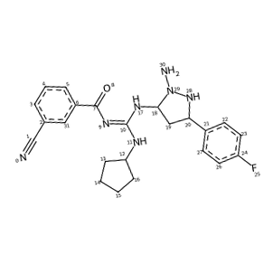 N#Cc1cccc(C(=O)/N=C(/NC2CCCC2)NC2CC(c3ccc(F)cc3)NN2N)c1